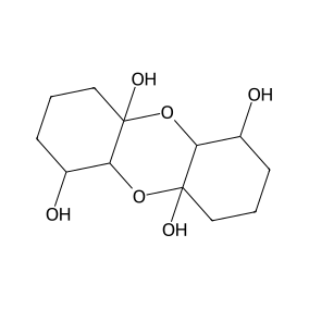 OC1CCCC2(O)OC3C(O)CCCC3(O)OC12